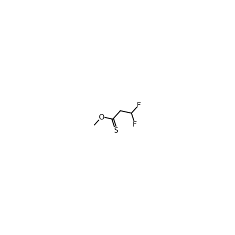 COC(=S)CC(F)F